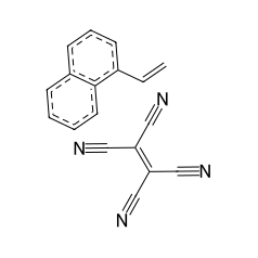 C=Cc1cccc2ccccc12.N#CC(C#N)=C(C#N)C#N